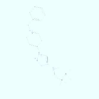 CC1(C)OB(c2cnn(C3CCN(Cc4ccccc4)CC3)c2)OC1(C)C